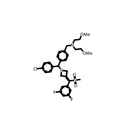 COCCN(CCOC)Cc1ccc(C(c2ccc(Cl)cc2)N2CC(=C(c3cc(F)cc(F)c3)S(C)(=O)=O)C2)cc1